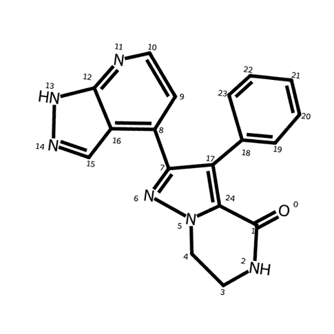 O=C1NCCn2nc(-c3ccnc4[nH]ncc34)c(-c3ccccc3)c21